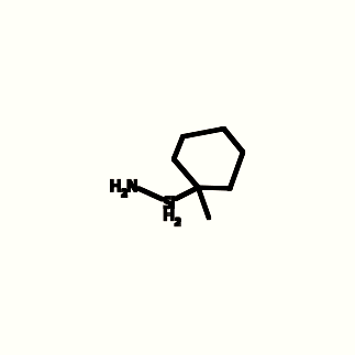 CC1([SiH2]N)CCCCC1